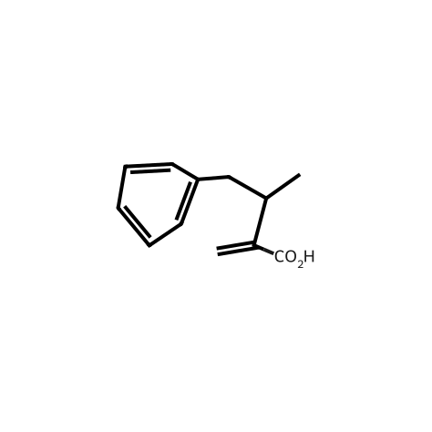 C=C(C(=O)O)C(C)Cc1ccccc1